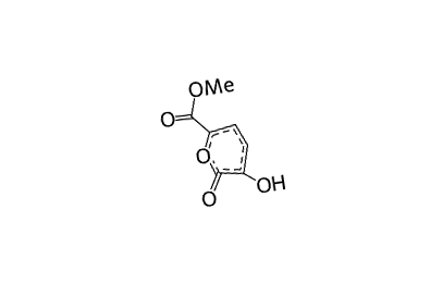 COC(=O)c1ccc(O)c(=O)o1